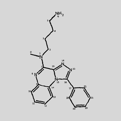 CN(CCCCN)c1nc2ccccc2n2c(-c3ccccc3)nnc12